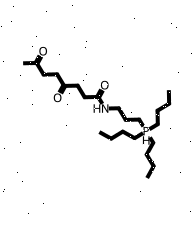 CCCC[PH](CCCC)(CCCC)CCCNC(=O)CCC(=O)CCC(C)=O